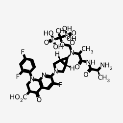 CC(C(=O)NC(=O)[C@H](C)N)N(C(=O)OC(C)(P(=O)(O)O)P(=O)(O)O)[C@H]1[C@@H]2CN(c3nc4c(cc3F)C(=O)C(C(=O)O)CN4c3ccc(F)cc3F)C[C@@H]21